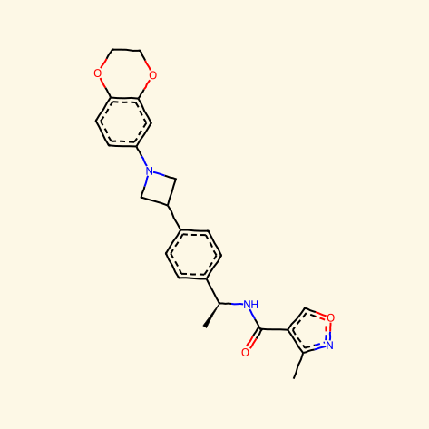 Cc1nocc1C(=O)N[C@@H](C)c1ccc(C2CN(c3ccc4c(c3)OCCO4)C2)cc1